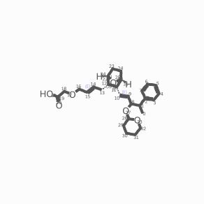 CC(c1ccccc1)C(/C=C/[C@@H]1[C@H](C/C=C/COCC(=O)O)[C@@H]2CC[C@H]1O2)OC1CCCCO1